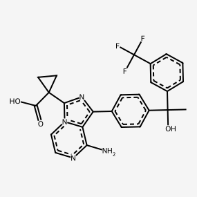 CC(O)(c1ccc(-c2nc(C3(C(=O)O)CC3)n3ccnc(N)c23)cc1)c1cccc(C(F)(F)F)c1